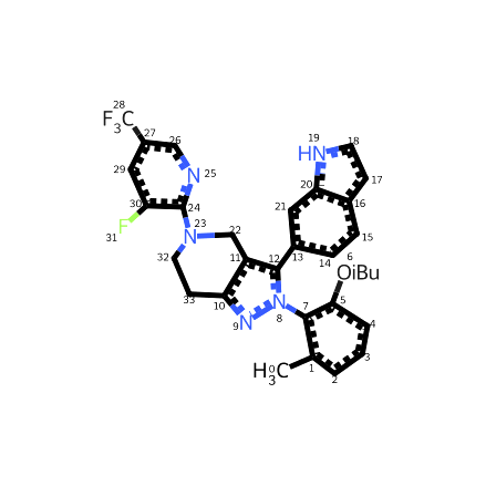 Cc1cccc(OCC(C)C)c1-n1nc2c(c1-c1ccc3cc[nH]c3c1)CN(c1ncc(C(F)(F)F)cc1F)CC2